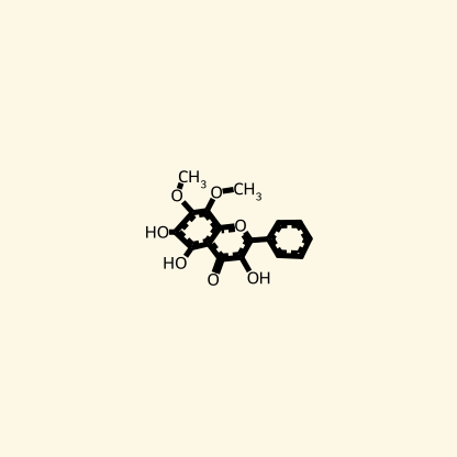 COc1c(O)c(O)c2c(=O)c(O)c(-c3ccccc3)oc2c1OC